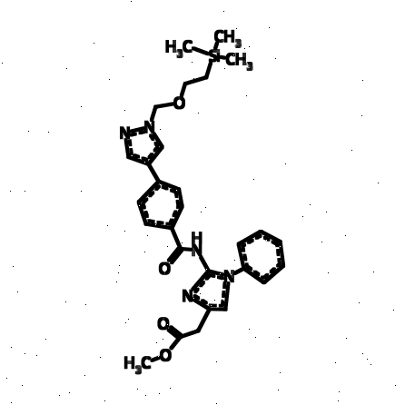 COC(=O)Cc1cn(-c2ccccc2)c(NC(=O)c2ccc(-c3cnn(COCC[Si](C)(C)C)c3)cc2)n1